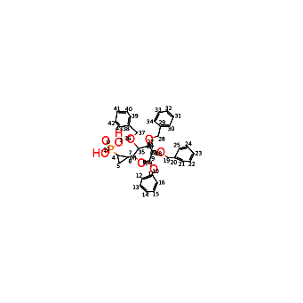 O=P(O)(O)C1CC1[C@H]1O[C@H](Oc2ccccc2)[C@@H](OCc2ccccc2)[C@@H](OCc2ccccc2)C1OCc1ccccc1